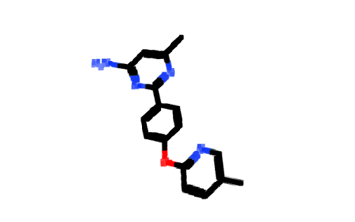 Cc1ccc(Oc2ccc(-c3nc(C)cc(N)n3)cc2)nc1